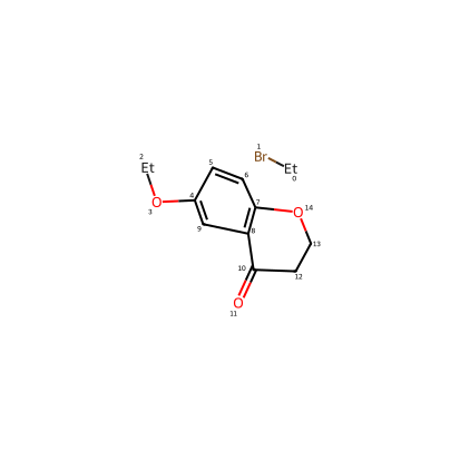 CCBr.CCOc1ccc2c(c1)C(=O)CCO2